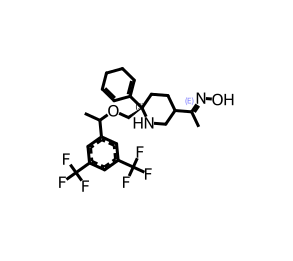 C/C(=N\O)C1CC[C@@](COC(C)c2cc(C(F)(F)F)cc(C(F)(F)F)c2)(C2=CCCC=C2)NC1